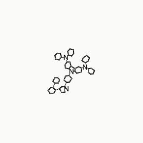 c1ccc(-c2ccccc2-c2ccnc(-c3ccc(-n4c5ccc(N(c6ccccc6)c6ccccc6)cc5c5cc(N(c6ccccc6)c6ccccc6)ccc54)cc3)c2)cc1